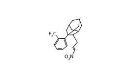 O=[N+]([O-])C=CCC1C2CC3CC(C2)CC1(c1ccccc1C(F)(F)F)C3